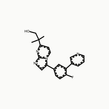 CC(C)(CO)c1ccn2c(-c3ccc(F)c(-c4cccnc4)c3)cnc2n1